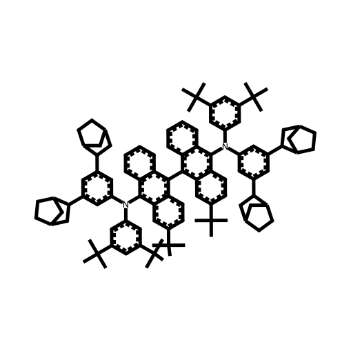 CC(C)(C)c1cc(N(c2cc(C3CC4CCC3C4)cc(C3CC4CCC3C4)c2)c2c3ccccc3c(-c3c4ccccc4c(N(c4cc(C5CC6CCC5C6)cc(C5CC6CCC5C6)c4)c4cc(C(C)(C)C)cc(C(C)(C)C)c4)c4cc(C(C)(C)C)ccc34)c3cc(C(C)(C)C)ccc23)cc(C(C)(C)C)c1